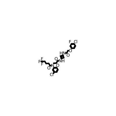 O=C(COc1ccc(Cl)c(F)c1)NC12CC(NC(=O)C3CN(C(=O)CCCC(F)(F)F)c4cc(Cl)ccc4O3)(C1)C2